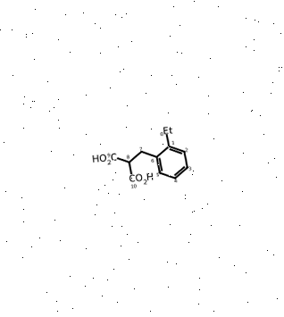 CCc1ccccc1CC(C(=O)O)C(=O)O